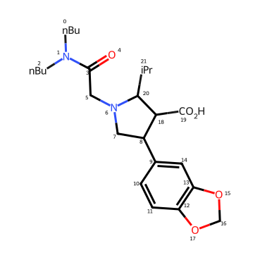 CCCCN(CCCC)C(=O)CN1CC(c2ccc3c(c2)OCO3)C(C(=O)O)C1C(C)C